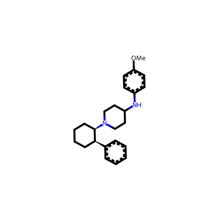 COc1ccc(NC2CCN([C@@H]3CCCC[C@@H]3c3ccccc3)CC2)cc1